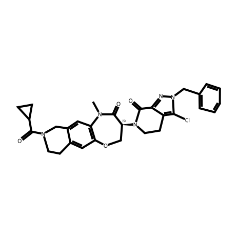 CN1C(=O)[C@@H](N2CCc3c(nn(Cc4ccccc4)c3Cl)C2=O)COc2cc3c(cc21)CN(C(=O)C1CC1)CC3